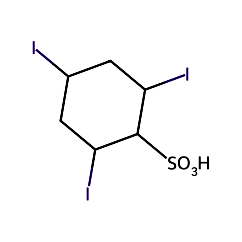 O=S(=O)(O)C1C(I)CC(I)CC1I